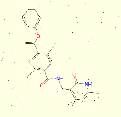 Cc1cc(C)c(CNC(=O)c2cc(F)c([C@@H](C)Oc3ccccc3)cc2C)c(=O)[nH]1